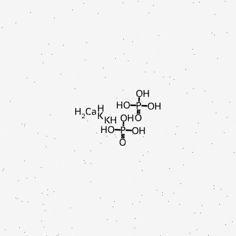 O=P(O)(O)O.O=P(O)(O)O.[CaH2].[KH].[KH]